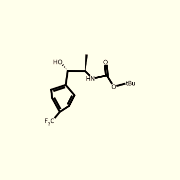 C[C@@H](NC(=O)OC(C)(C)C)[C@@H](O)c1ccc(C(F)(F)F)cc1